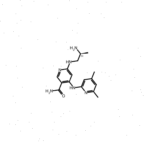 Cc1cc(C)nc(Nc2cc(NC[C@H](C)N)ncc2C(N)=O)c1